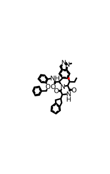 CCC(C)C1C(=O)NC(C2Cc3ccccc3C2)C(=O)N1C(C(=O)Nc1ccccc1OCc1ccccc1)c1ccc2c(cnn2C)c1